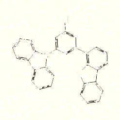 Clc1cc(-c2cccc3c2oc2ccccc23)cc(-n2c3ccccc3c3ccccc32)c1